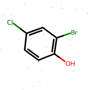 Oc1[c]cc(Cl)cc1Br